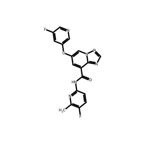 Cc1nc(NC(=O)c2cc(Oc3cncc(F)c3)cn3ncnc23)ccc1F